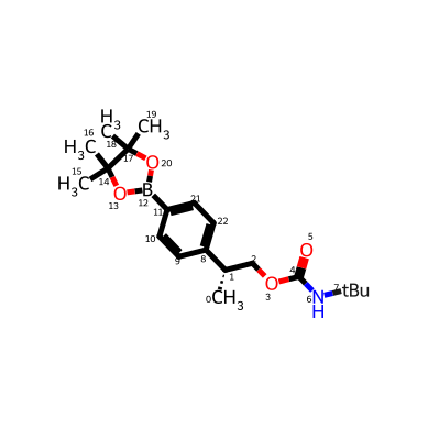 C[C@@H](COC(=O)NC(C)(C)C)c1ccc(B2OC(C)(C)C(C)(C)O2)cc1